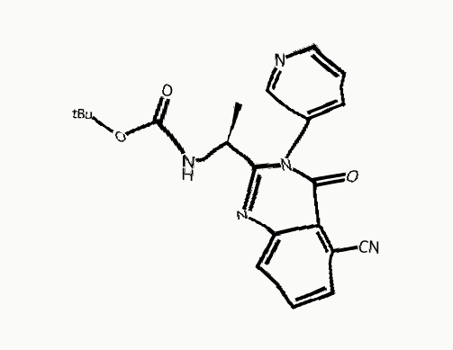 C[C@H](NC(=O)OC(C)(C)C)c1nc2cccc(C#N)c2c(=O)n1-c1cccnc1